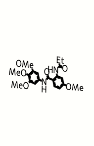 CCC(=O)Nc1cc(OC)ccc1C(=O)Nc1cc(OC)c(OC)c(OC)c1